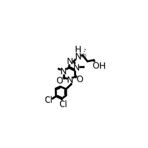 C[C@H](CCO)Nc1nc2c(c(=O)n(Cc3ccc(Cl)c(Cl)c3)c(=O)n2C)n1C